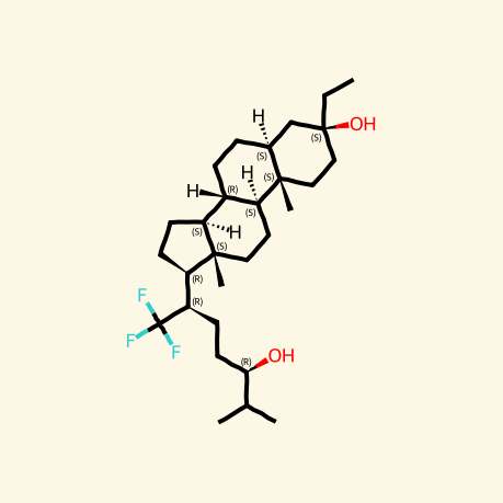 CC[C@]1(O)CC[C@@]2(C)[C@@H](CC[C@@H]3[C@@H]2CC[C@]2(C)[C@@H]([C@@H](CC[C@@H](O)C(C)C)C(F)(F)F)CC[C@@H]32)C1